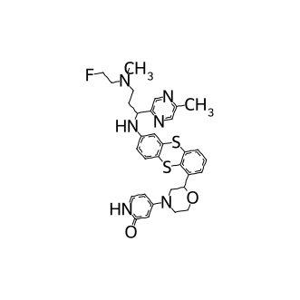 Cc1cnc(C(CCN(C)CCF)Nc2ccc3c(c2)Sc2cccc(C4CN(c5cc[nH]c(=O)c5)CCO4)c2S3)cn1